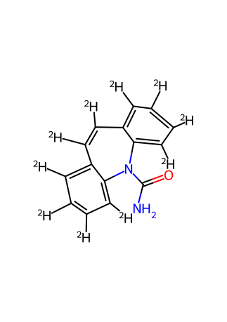 [2H]C1=C([2H])c2c([2H])c([2H])c([2H])c([2H])c2N(C(N)=O)c2c([2H])c([2H])c([2H])c([2H])c21